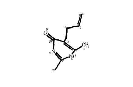 C=CCc1c(O)[nH]c(C)nc1=O